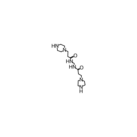 O=C(CCN1CCNCC1)NCNC(=O)CCN1CCNCC1